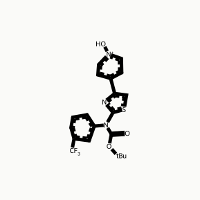 CC(C)(C)OC(=O)N(c1cccc(C(F)(F)F)c1)c1nc(-c2cc[n+](O)cc2)cs1